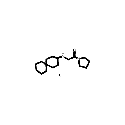 Cl.O=C(CNC1CCC2(CCCCC2)CC1)N1CCCC1